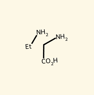 CCN.NCC(=O)O